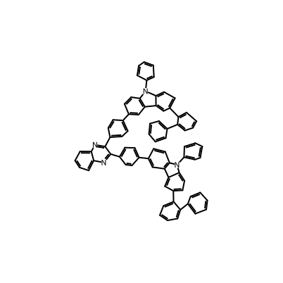 c1ccc(-c2ccccc2-c2ccc3c(c2)c2cc(-c4ccc(-c5nc6ccccc6nc5-c5ccc(-c6ccc7c(c6)c6cc(-c8ccccc8-c8ccccc8)ccc6n7-c6ccccc6)cc5)cc4)ccc2n3-c2ccccc2)cc1